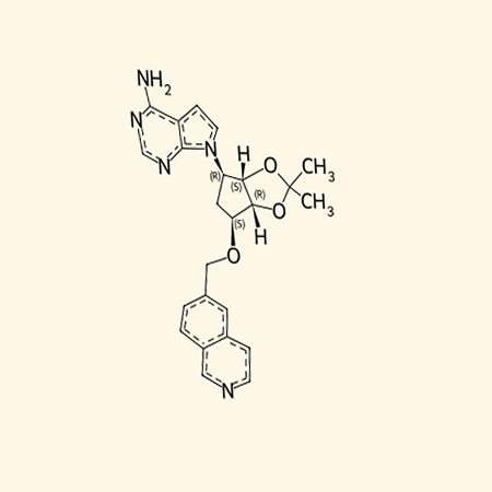 CC1(C)O[C@@H]2[C@H](O1)[C@@H](OCc1ccc3cnccc3c1)C[C@H]2n1ccc2c(N)ncnc21